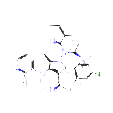 C=C1C(Nc2cccnc2CC)=C(C(C)=N)C(c2ccc(F)cc2F)N1N(C(C)=N)C(=N)/C(C)=C\C